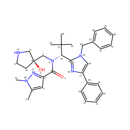 Cc1cc(C(=O)N(C[C@]2(O)CCNC2)[C@@H](c2nc(-c3ccccc3)cn2Cc2ccccc2)C(C)(C)C)nn1C